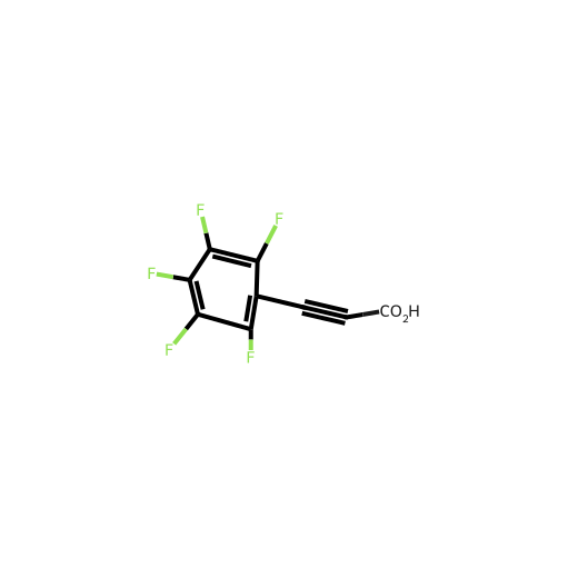 O=C(O)C#Cc1c(F)c(F)c(F)c(F)c1F